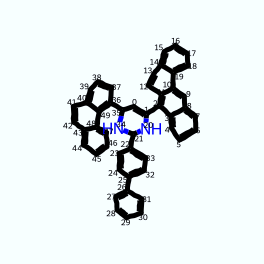 C1=C(c2c3ccccc3cc3c2ccc2ccccc23)NC(c2ccc(-c3ccccc3)cc2)NC1c1cccc2ccc3ccccc3c12